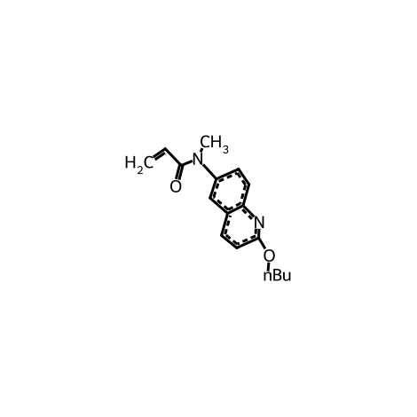 C=CC(=O)N(C)c1ccc2nc(OCCCC)ccc2c1